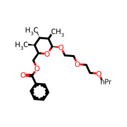 CCCOCCOCCO[C@H]1OC(COC(=O)c2ccccc2)[C@@H](C)[C@H](C)C1C